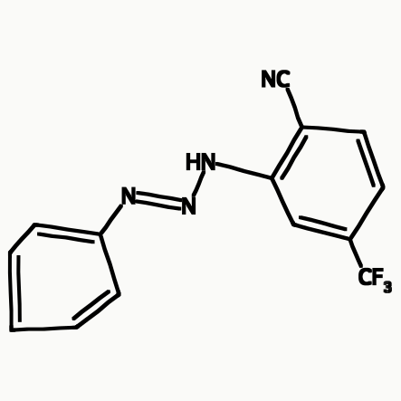 N#Cc1ccc(C(F)(F)F)cc1N/N=N/c1ccccc1